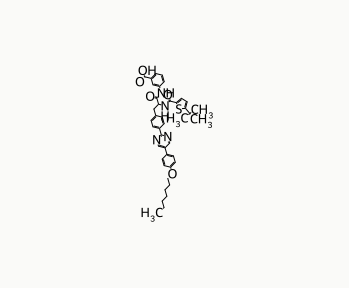 CCCCCCCOc1ccc(-c2cnc(-c3ccc(CC(NC(=O)c4ccc(C(C)(C)C)s4)C(=O)Nc4cccc(C(=O)O)c4)cc3)nc2)cc1